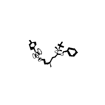 Cc1ccc(S(=O)(=O)OCC[C@H](C)CCC(OCc2ccccc2)O[Si](C)(C)C(C)(C)C)cc1